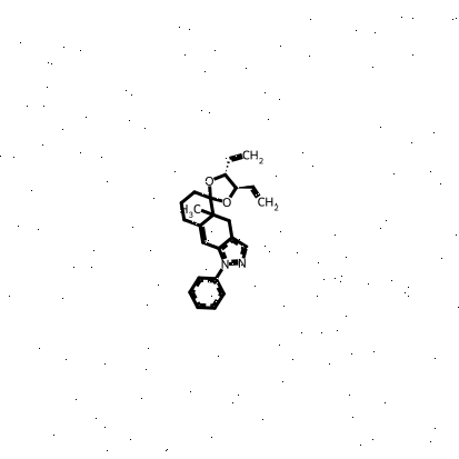 C=C[C@H]1OC2(CCCC3=Cc4c(cnn4-c4ccccc4)CC32C)O[C@@H]1C=C